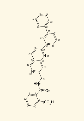 O=C(O)c1ccccc1C(=O)NCc1cc2nc(-c3cccc(-c4cccnc4)c3)ccc2cn1